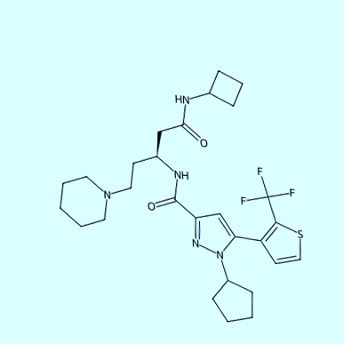 O=C(C[C@H](CCN1CCCCC1)NC(=O)c1cc(-c2ccsc2C(F)(F)F)n(C2CCCC2)n1)NC1CCC1